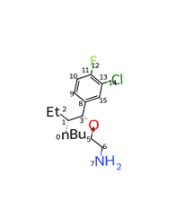 CCCC[C@H](CC)[C@@H](OCCN)c1ccc(F)c(Cl)c1